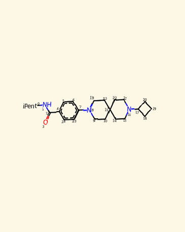 CCCC(C)NC(=O)c1ccc(N2CCC3(CC2)CCN(C2CCC2)CC3)cc1